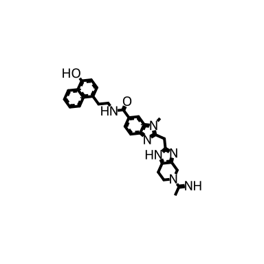 CC(=N)N1CCc2[nH]c(Cc3nc4ccc(C(=O)NCCc5ccc(O)c6ccccc56)cc4n3C)nc2C1